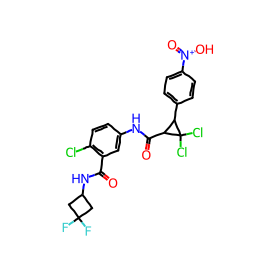 O=C(NC1CC(F)(F)C1)c1cc(NC(=O)C2C(c3ccc([N+](=O)O)cc3)C2(Cl)Cl)ccc1Cl